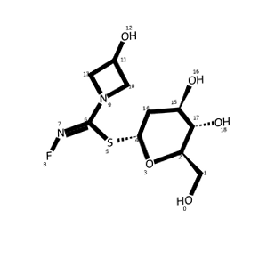 OC[C@H]1O[C@H](S/C(=N\F)N2CC(O)C2)C[C@@H](O)[C@@H]1O